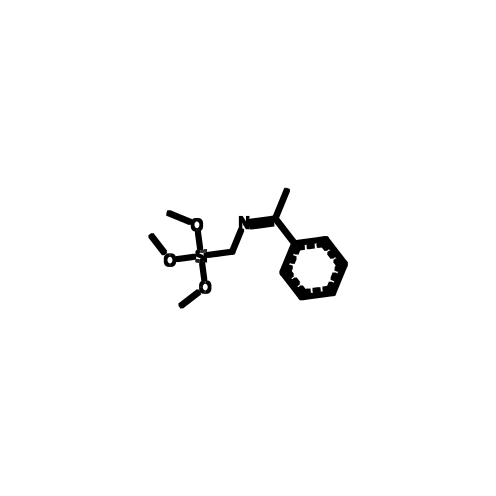 CO[Si](C/N=C(/C)c1ccccc1)(OC)OC